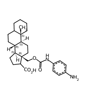 C[C@]12CCCCC1CC[C@H]1[C@@H]3CCC(C(=O)O)[C@@]3(COC(=O)Nc3ccc(N)cc3)CC[C@@H]12